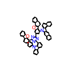 c1ccc(-n2c3ccccc3c3cccc(-c4nc(-c5cc(-n6c7cc8ccccc8cc7c7c8ccccc8ccc76)c6c(c5)oc5c7ccccc7ccc56)nc(-c5cccc6c5oc5ccccc56)n4)c32)cc1